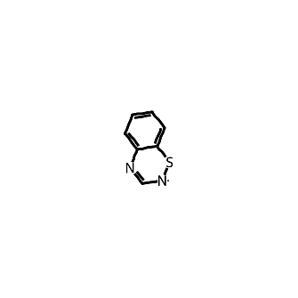 C1=Nc2ccccc2S[N]1